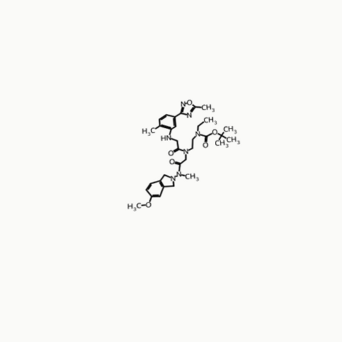 CCN(CCN(CC(=O)N(C)N1Cc2ccc(OC)cc2C1)C(=O)CNc1cc(-c2noc(C)n2)ccc1C)C(=O)OC(C)(C)C